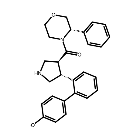 [O]c1ccc(-c2ccccc2[C@@H]2CNC[C@H]2C(=O)N2CCOC[C@@H]2c2ccccc2)cc1